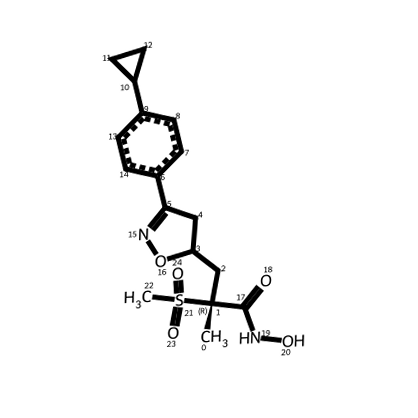 C[C@@](CC1CC(c2ccc(C3CC3)cc2)=NO1)(C(=O)NO)S(C)(=O)=O